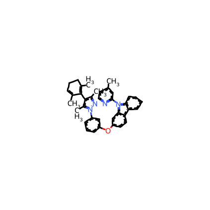 CC1=CCCC(C)=C1c1c(C)nn(-c2cccc(Oc3ccc4c5ccccc5n(-c5cc(C)ccn5)c4c3)c2)c1C